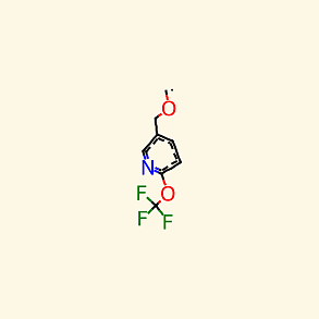 [CH2]OCc1ccc(OC(F)(F)F)nc1